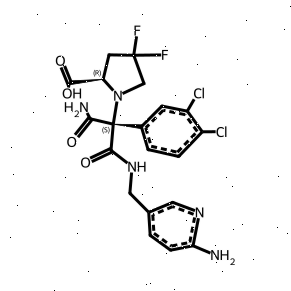 NC(=O)[C@](C(=O)NCc1ccc(N)nc1)(c1ccc(Cl)c(Cl)c1)N1CC(F)(F)C[C@@H]1C(=O)O